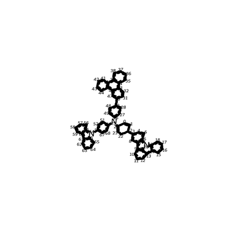 C1=CC(c2ccc3c(c2)c2cccc4c5ccccc5n3c42)CC=C1N(c1ccc(-c2ccc3c4ccccc4c4ccccc4c3c2)cc1)c1ccc(-n2c3ccccc3c3ccccc32)cc1